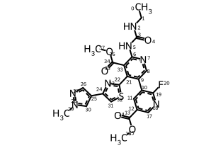 CCNC(=O)Nc1ncc(-c2cc(C(=O)OC)cnc2F)c(-c2nc(-c3cnn(C)c3)cs2)c1C(=O)OC